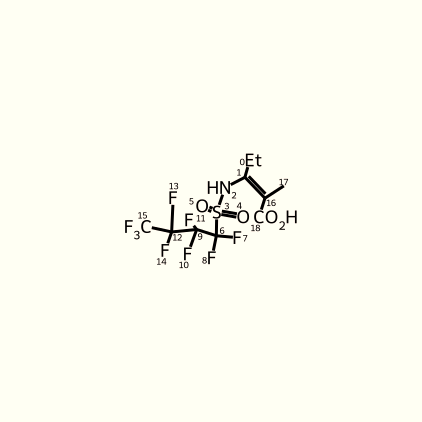 CCC(NS(=O)(=O)C(F)(F)C(F)(F)C(F)(F)C(F)(F)F)=C(C)C(=O)O